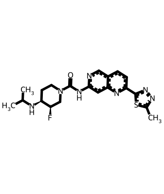 Cc1nnc(-c2ccc3cnc(NC(=O)N4CC[C@H](NC(C)C)[C@H](F)C4)cc3n2)s1